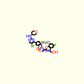 COc1cc(F)cc(C(CO)NC(=O)C(C)N2Cc3ccc(-c4nc(NC5CCOCC5)ncc4Br)cc3S2(=O)=O)c1